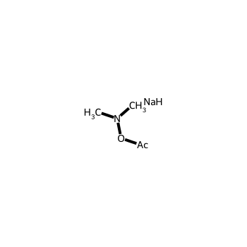 CC(=O)ON(C)C.[NaH]